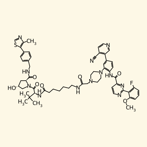 COc1cccc(F)c1-c1nccc(C(=O)Nc2ccc(-c3cnccc3C#N)cc2N2CCN(CC(=O)NCCCCCCC(=O)N[C@H](C(=O)N3C[C@H](O)C[C@H]3C(=O)NCc3ccc(-c4scnc4C)cc3)C(C)(C)C)CC2)n1